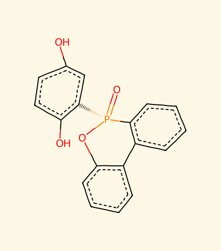 O=[P@]1(c2cc(O)ccc2O)Oc2ccccc2-c2ccccc21